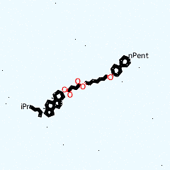 CCCCCC1CCC(C2CCC(OCCCCCCCOC(=O)CCC(=O)O[C@H]3CC[C@@]4(C)C(=CCC5C4CC[C@@]4(C)C5CC[C@@H]4C(C)CCCC(C)C)C3)CC2)CC1